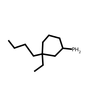 CCCCC1(CC)CCCC(P)C1